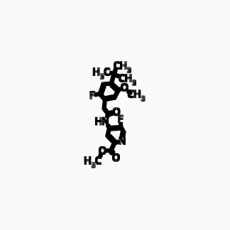 COC(=O)c1cc(NC(=O)Cc2cc(OC)c(C(C)(C)C)cc2F)c(F)cn1